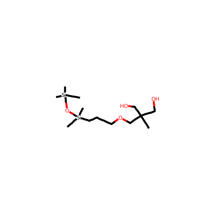 CC(CO)(CO)COCCC[Si](C)(C)O[Si](C)(C)C